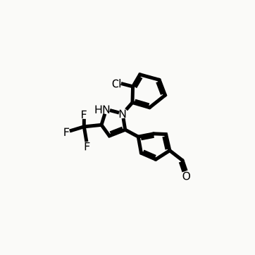 O=Cc1ccc(C2=CC(C(F)(F)F)NN2c2ccccc2Cl)cc1